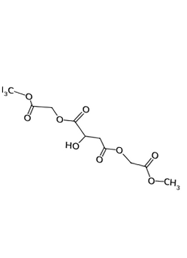 COC(=O)COC(=O)CC(O)C(=O)OCC(=O)OC